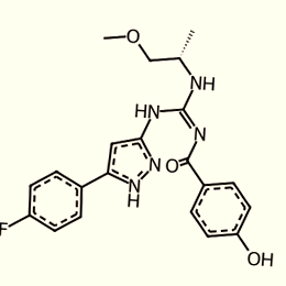 COC[C@H](C)N/C(=N/C(=O)c1ccc(O)cc1)Nc1cc(-c2ccc(F)cc2)[nH]n1